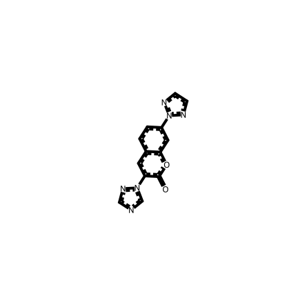 O=c1oc2cc(-n3nccn3)ccc2cc1-n1cncn1